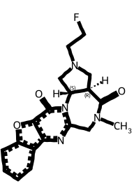 CN1Cc2nc3c(oc4ccccc43)c(=O)n2[C@@H]2CN(CCF)C[C@H]2C1=O